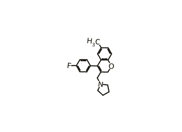 Cc1ccc2c(c1)C(c1ccc(F)cc1)=C(CN1CCCC1)CO2